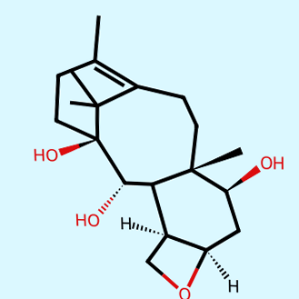 CC1=C2CC[C@@]3(C)C([C@@H]4CO[C@@H]4C[C@@H]3O)[C@H](O)[C@](O)(CC1)C2(C)C